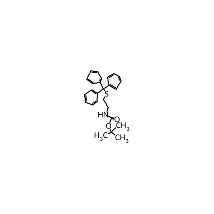 CC(C)(C)OC(=O)NCCSC(c1ccccc1)(c1ccccc1)c1ccccc1